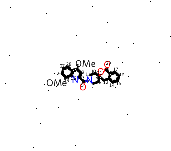 COc1cc(C(=O)N2CCC3(CC2)Cc2cc[c]cc2C(=O)O3)nc2c(OC)cccc12